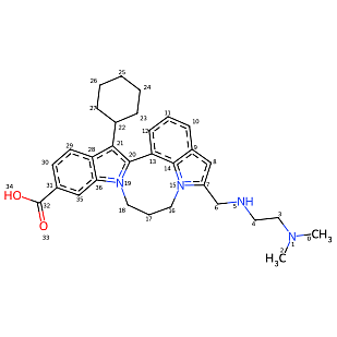 CN(C)CCNCc1cc2cccc3c2n1CCCn1c-3c(C2CCCCC2)c2ccc(C(=O)O)cc21